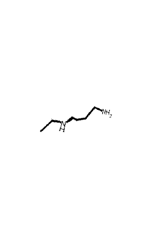 C[CH]NCCCN